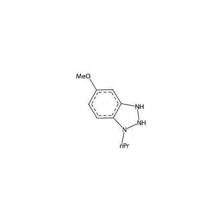 CCCN1NNc2cc(OC)ccc21